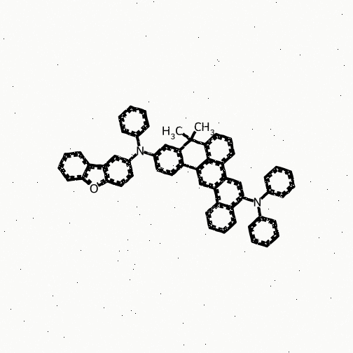 CC1(C)c2cc(N(c3ccccc3)c3ccc4oc5ccccc5c4c3)ccc2-c2cc3c4ccccc4c(N(c4ccccc4)c4ccccc4)cc3c3cccc1c23